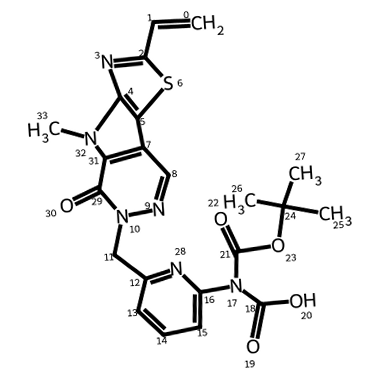 C=Cc1nc2c(s1)c1cnn(Cc3cccc(N(C(=O)O)C(=O)OC(C)(C)C)n3)c(=O)c1n2C